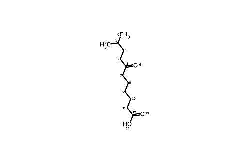 CC(C)CCC(=O)CCCCCC(=O)O